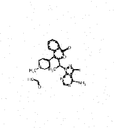 CC(c1oc(=O)c2ccccc2c1C1=CCN(C)CC1)n1nc(I)c2c(N)ncnc21.O=CO